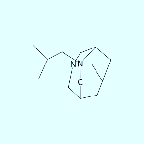 CC(C)CN1CC2CC3CC1CN(C3)C2